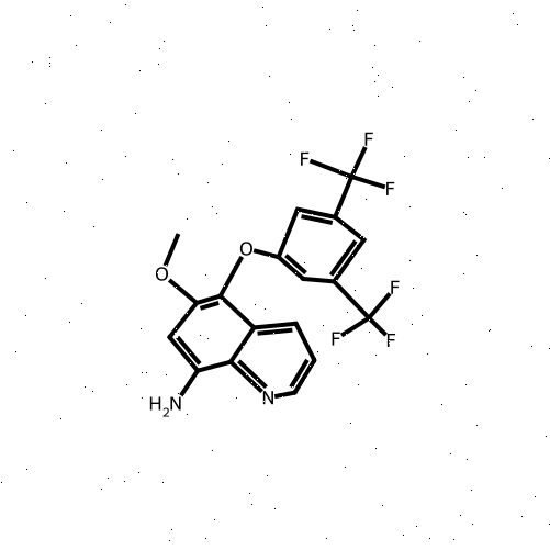 COc1cc(N)c2ncccc2c1Oc1cc(C(F)(F)F)cc(C(F)(F)F)c1